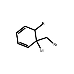 BrCC1(Br)C=CC=CC1Br